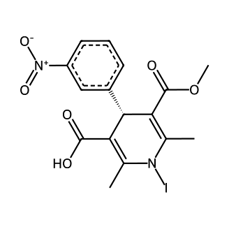 COC(=O)C1=C(C)N(I)C(C)=C(C(=O)O)[C@@H]1c1cccc([N+](=O)[O-])c1